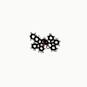 C1=C=Cc2cc3c(cc2C=1)-c1ccccc1C3(c1ccccc1)c1ccccc1-c1cccc2c1Oc1ccccc1C2(c1ccccc1)c1ccccc1